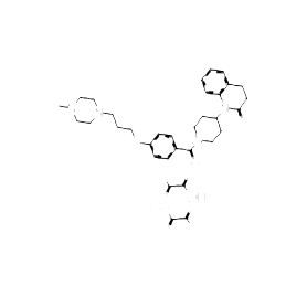 CN1CCN(CCCOc2ccc(C(=O)N3CCC(N4C(=O)CCc5ccccc54)CC3)cc2)CC1.O=C(O)C(=O)O.O=C(O)C(=O)O